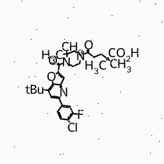 CC(C)(CCC(=O)N1CCN(C(=O)c2cc3nc(-c4ccc(Cl)c(F)c4)cc(C(C)(C)C)c3o2)C(C)(C)C1)C(=O)O